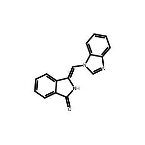 O=C1N/C(=C\n2cnc3ccccc32)c2ccccc21